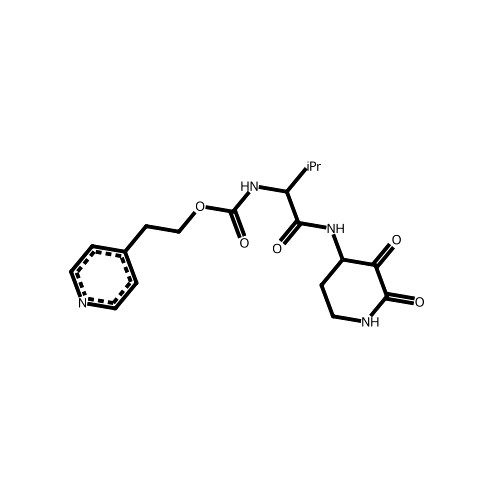 CC(C)C(NC(=O)OCCc1ccncc1)C(=O)NC1CCNC(=O)C1=O